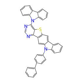 c1ccc(-c2ccc(-n3c4ccccc4c4cc5sc6c(-n7c8ccccc8c8ccccc87)ncnc6c5cc43)cc2)cc1